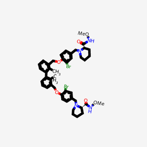 CONC(=O)[C@@H]1CCCCN1Cc1ccc(OCc2cccc(-c3cccc(COc4ccc(CN5CCCC[C@H]5C(=O)NOC)cc4Br)c3C)c2C)c(Br)c1